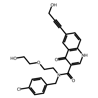 O=C(c1c[nH]c2ccc(C#CCO)cc2c1=O)N(CCOCCO)Cc1ccc(Cl)cc1